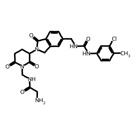 Cc1ccc(NC(=O)NCc2ccc3c(c2)CN(C2CCC(=O)N(CNC(=O)CN)C2=O)C3=O)cc1Cl